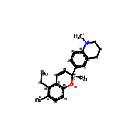 CN1CCCc2cc([C@]3(C)C=Cc4c(ccc(C(C)(C)C)c4CC(C)(C)C)O3)ccc21